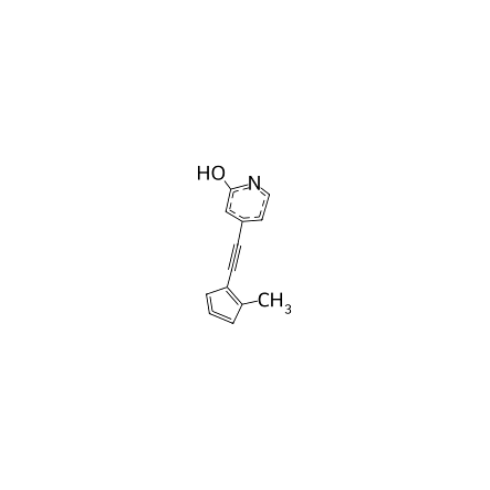 CC1=C(C#Cc2ccnc(O)c2)C=C=C1